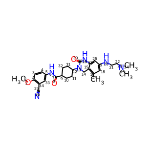 COc1ccc(NC(=O)C2CCC(N3Cc4c(C)cc(NCCN(C)C)cc4NC3=O)CC2)cc1C#N